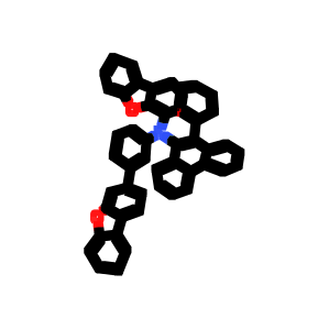 c1ccc(-c2c(N(c3cccc(-c4ccc5c(c4)oc4ccccc45)c3)c3cccc4c3oc3ccccc34)c3ccccc3c3ccccc23)cc1